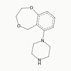 c1cc2c(c(N3CCNCC3)c1)COCCO2